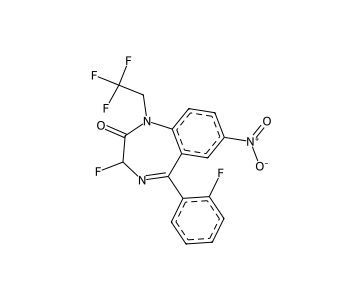 O=C1C(F)N=C(c2ccccc2F)c2cc([N+](=O)[O-])ccc2N1CC(F)(F)F